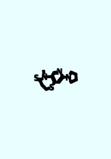 CN1C(=S)CCSc2cc(N3CCCC3)ncc21